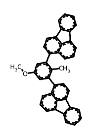 COc1cc(-c2ccc3c4c(cccc24)-c2ccccc2-3)c(C)c(-c2ccc3c4c(cccc24)-c2ccccc2-3)c1